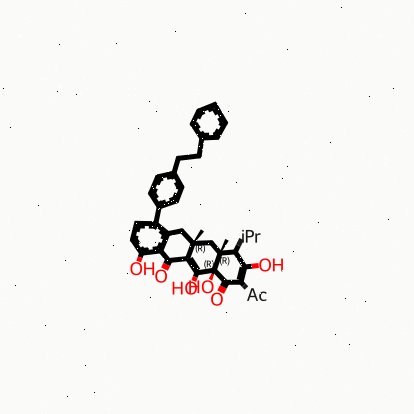 CC(=O)C1=C(O)C(C(C)C)[C@@]2(C)C[C@@]3(C)Cc4c(-c5ccc(CCc6ccccc6)cc5)ccc(O)c4C(=O)C3=C(O)[C@@]2(O)C1=O